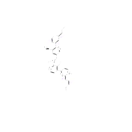 C\C=C/C(=C\C(C)=C\CC)c1ncc(CNc2nccc(C3=N/C(=C/C=C\CC)N(C)C=C3)c2F)cc1C#N